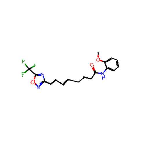 COc1ccccc1NC(=O)CCCCCCCc1noc(C(F)(F)F)n1